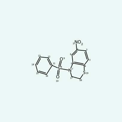 O=[N+]([O-])c1ccc2c(c1)N(S(=O)(=O)c1ccccc1)CCS2